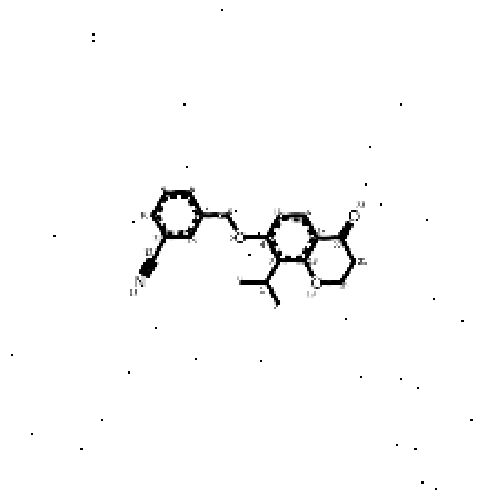 CC(C)c1c(OCc2cccc(C#N)c2)ccc2c1OCCC2=O